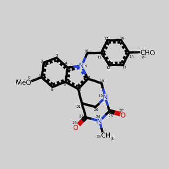 COc1ccc2c(c1)c1c(n2Cc2ccc(C=O)cc2)CN2CC1C(=O)N(C)C2=O